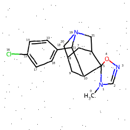 CN1C=NOC12C1CC3CC2C(c2ccc(Cl)cc2)N(C3)C1